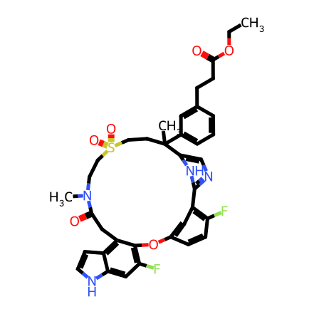 CCOC(=O)CCc1cccc(C2(C)CCS(=O)(=O)CCN(C)C(=O)Cc3c(c(F)cc4[nH]ccc34)Oc3ccc(F)c(c3)-c3ncc2[nH]3)c1